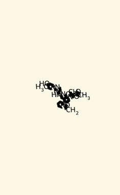 C=CC(=O)N1CCCC[C@@H]1c1ccc(N2C[C@H](CS(C)(=O)=O)C2(C)C)c2cnc(Nc3ccnc(N4CCC(C)(O)CC4)n3)cc12